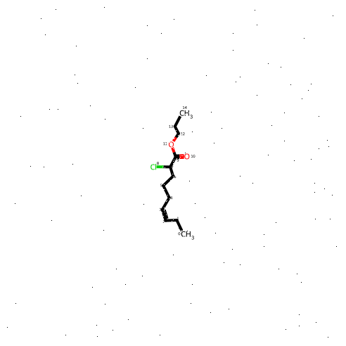 CC/C=C\CCCC(Cl)C(=O)OCCC